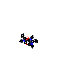 Cc1ccc(N2c3ccc(C)cc3B3c4cc5c(cc4Oc4cc(-c6cc(C)ccc6C)cc2c43)N(c2ccc(C)cc2)c2cc(-c3cc(C)ccc3C)cc3c2B5c2cc(C)cc4c5cc(C)ccc5n-3c24)cc1